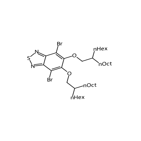 CCCCCCCCC(CCCCCC)COc1c(OCC(CCCCCC)CCCCCCCC)c(Br)c2nsnc2c1Br